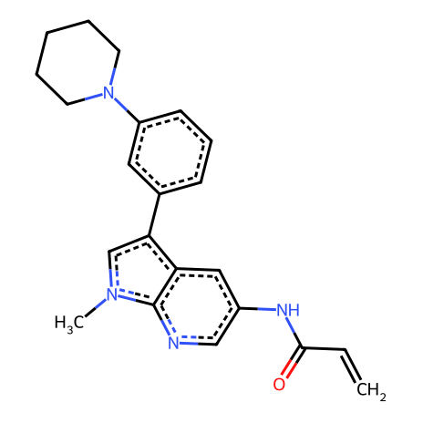 C=CC(=O)Nc1cnc2c(c1)c(-c1cccc(N3CCCCC3)c1)cn2C